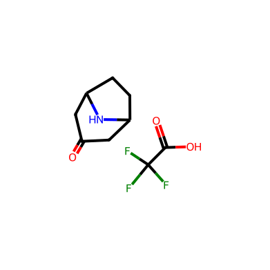 O=C(O)C(F)(F)F.O=C1CC2CCC(C1)N2